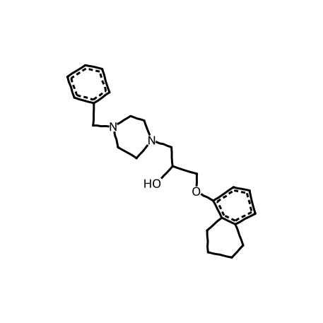 OC(COc1cccc2c1CCCC2)CN1CCN(Cc2ccccc2)CC1